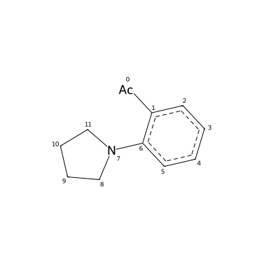 CC(=O)c1ccccc1N1CCCC1